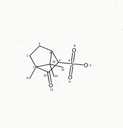 CC12CCC(C(S([O])(=O)=O)C1=O)C2(C)C